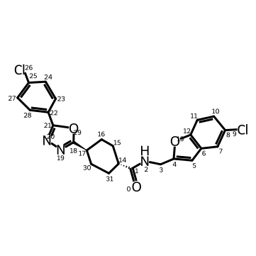 O=C(NCc1cc2cc(Cl)ccc2o1)[C@H]1CC[C@H](c2nnc(-c3ccc(Cl)cc3)o2)CC1